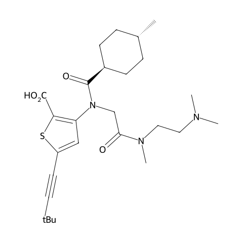 CN(C)CCN(C)C(=O)CN(c1cc(C#CC(C)(C)C)sc1C(=O)O)C(=O)[C@H]1CC[C@H](C)CC1